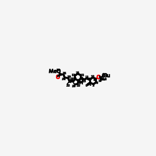 C=C1CCC(O[Si](C)(C)C(C)(C)C)C/C1=C/C=C1\CCC[C@]2(C)[C@@H]([C@H](C)CCCC(=O)OC)CC[C@@H]12